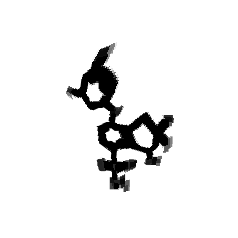 NS(=O)(=O)c1ccc(Oc2cc(F)cc(F)c2)c2c1C(O)C(F)(F)C2